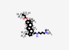 C=C(C)[C@@H]1CC[C@]2(CCNCCCCN(C)C)CC[C@]3(C)[C@H](CC[C@@H]4[C@@]5(C)CC[C@H](OC(=O)CC(C)(C)C(=O)O)C(C)(C)[C@@H]5CC[C@]43C)[C@@H]12